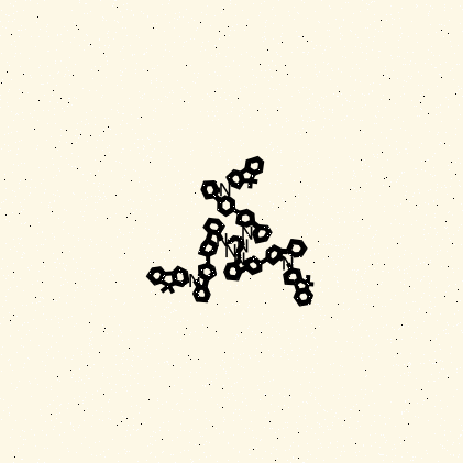 CC1(C)c2ccccc2-c2ccc(-n3c4ccccc4c4ccc(-c5ccc6c7ccccc7n(-c7cc(-n8c9ccccc9c9ccc(-c%10ccc%11c%12ccccc%12n(-c%12ccc%13c(c%12)C(C)(C)c%12ccccc%12-%13)c%11c%10)cc98)nc(-n8c9ccccc9c9ccc(-c%10ccc%11c%12ccccc%12n(-c%12ccc%13c(c%12)C(C)(C)c%12ccccc%12-%13)c%11c%10)cc98)n7)c6c5)cc43)cc21